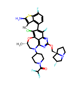 C[C@H]1CN(C2CCN(C(=O)C(F)F)CC2)c2nc(OC[C@@]34CCCN3C[C@H](F)C4)nc3c(F)c(-c4ccc(F)c5sc(N)c(C#N)c45)c(Cl)c(c23)O1